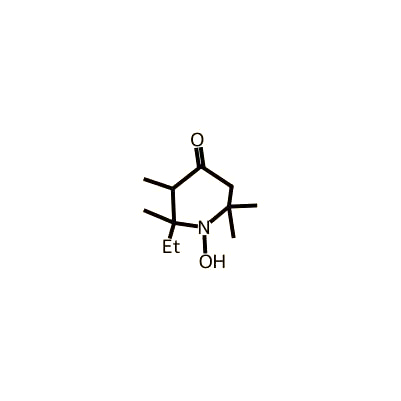 CCC1(C)C(C)C(=O)CC(C)(C)N1O